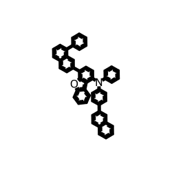 c1ccc(-c2cccc3ccc(-c4ccc(N(c5ccccc5)c5ccc(-c6ccc7ccccc7c6)cc5)c5c4oc4ccccc45)cc23)cc1